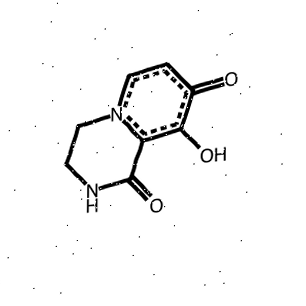 O=C1NCCn2ccc(=O)c(O)c21